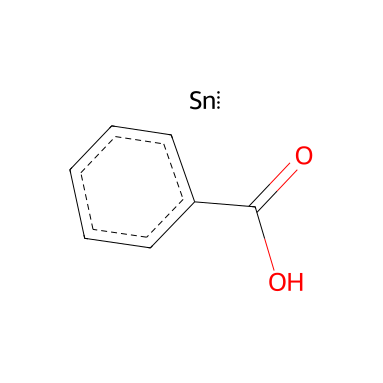 O=C(O)c1ccccc1.[Sn]